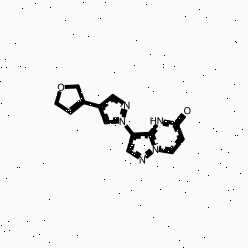 O=c1ccn2ncc(-n3cc(C4=CCOC4)cn3)c2[nH]1